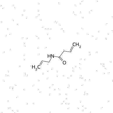 C=C[CH]C(=O)NCC=C